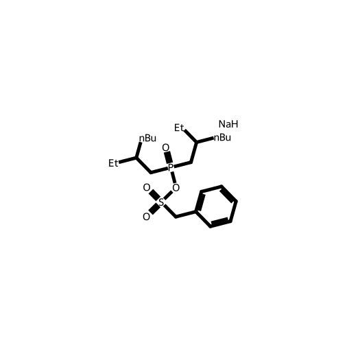 CCCCC(CC)CP(=O)(CC(CC)CCCC)OS(=O)(=O)Cc1ccccc1.[NaH]